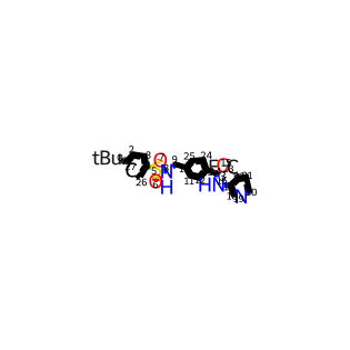 CC(C)(C)c1ccc(S(=O)(=O)NCc2ccc(C(=O)Nc3cnccc3C(F)(F)F)cc2)cc1